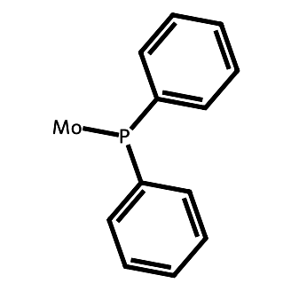 [Mo][P](c1ccccc1)c1ccccc1